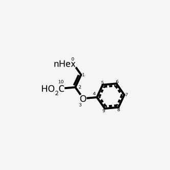 CCCCCCC=C(Oc1ccccc1)C(=O)O